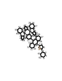 c1ccc(-c2ccc(-c3c4ccccc4c(-c4ccc5c(c4)C4(c6ccccc6-c6ccccc64)c4ccccc4C54c5ccccc5-c5ccccc54)c4ccccc34)s2)cc1